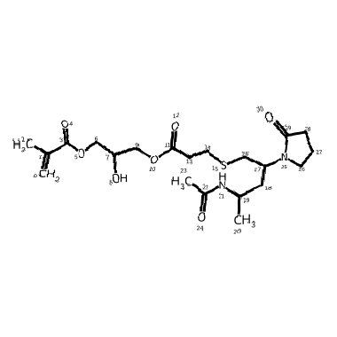 C=C(C)C(=O)OCC(O)COC(=O)CCSCC(CC(C)NC(C)=O)N1CCCC1=O